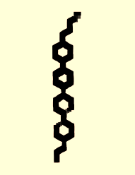 CCC[C@H]1CC[C@H]([C@H]2CC[C@H](c3ccc(C4CCC(CCCF)CC4)cc3)CC2)CC1